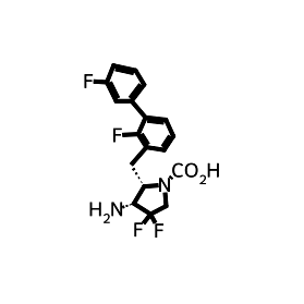 N[C@@H]1[C@H](Cc2cccc(-c3cccc(F)c3)c2F)N(C(=O)O)CC1(F)F